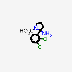 NC1(c2cccc(Cl)c2Cl)CCCN1C(=O)O